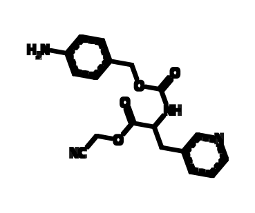 N#CCOC(=O)C(Cc1cccnc1)NC(=O)OCc1ccc(N)cc1